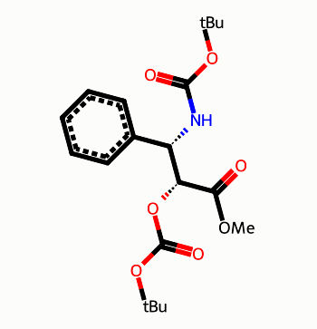 COC(=O)[C@H](OC(=O)OC(C)(C)C)[C@@H](NC(=O)OC(C)(C)C)c1ccccc1